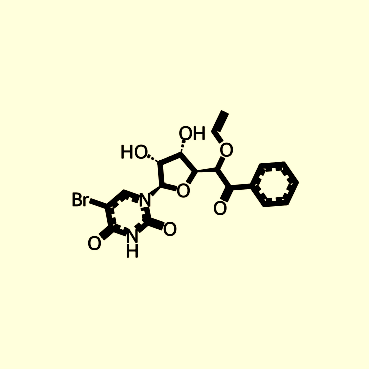 C=COC(C(=O)c1ccccc1)[C@H]1O[C@@H](n2cc(Br)c(=O)[nH]c2=O)[C@H](O)[C@@H]1O